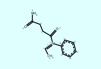 [CH2-]/C=[N+](/C(=O)CCC(N)=O)c1ccccc1